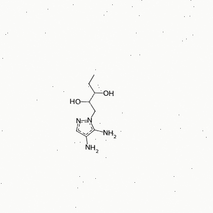 CCC(O)C(O)Cn1ncc(N)c1N